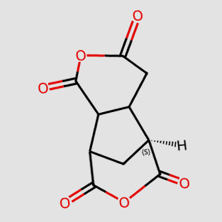 O=C1CC2C(C(=O)O1)C1C[C@@H]2C(=O)OC1=O